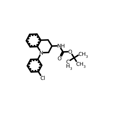 CC(C)(C)OC(=O)NC1Cc2ccccc2N(c2cccc(Cl)c2)C1